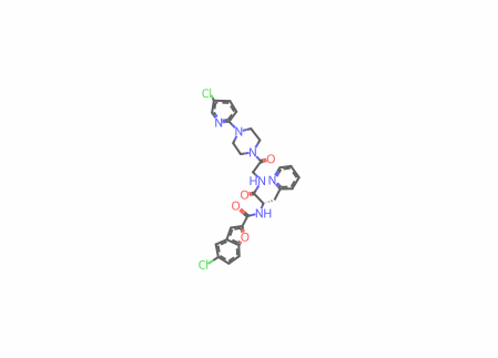 O=C(N[C@@H](Cc1ccccn1)C(=O)NCC(=O)N1CCN(c2ccc(Cl)cn2)CC1)c1cc2cc(Cl)ccc2o1